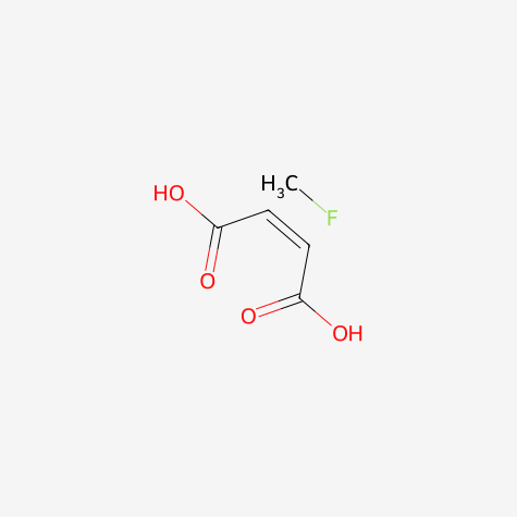 CF.O=C(O)/C=C\C(=O)O